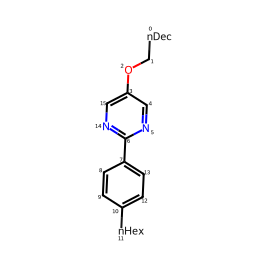 CCCCCCCCCCCOc1cnc(-c2ccc(CCCCCC)cc2)nc1